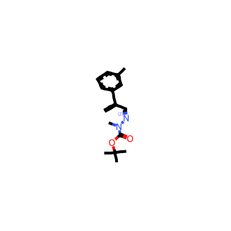 C=C(/C=N\N(C)C(=O)OC(C)(C)C)c1cccc(C)c1